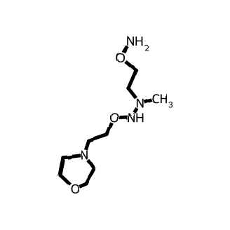 CN(CCON)NOCCN1CCOCC1